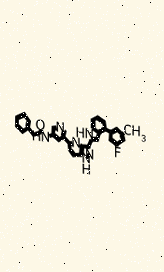 Cc1cc(F)cc(-c2cccc3[nH]c(-c4n[nH]c5ccc(-c6cncc(NC(=O)Cc7ccccc7)c6)nc45)cc23)c1